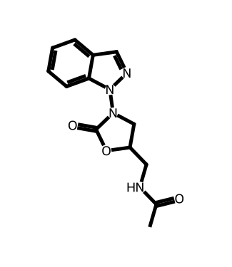 CC(=O)NCC1CN(n2ncc3ccccc32)C(=O)O1